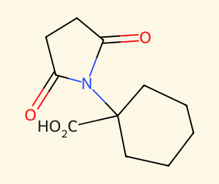 O=C1CCC(=O)N1C1(C(=O)O)CCCCC1